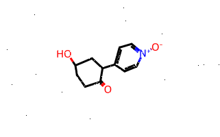 O=C1CCC(O)CC1c1cc[n+]([O-])cc1